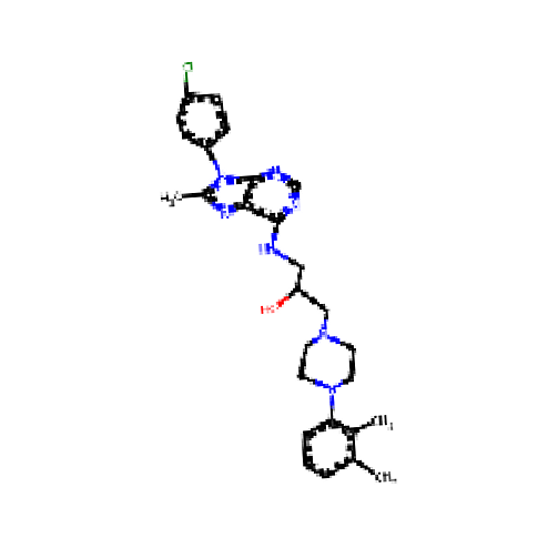 Cc1cccc(N2CCN(CC(O)CNc3ncnc4c3nc(C)n4-c3ccc(Cl)cc3)CC2)c1C